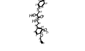 C#CCOc1ccc(CCNC(=O)C(O)CSc2ccc(Cl)cc2)cc1OC